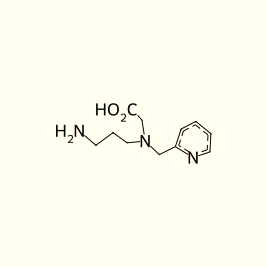 NCCCN(CC(=O)O)Cc1ccccn1